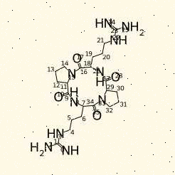 N=C(N)NCCCC1NC(=O)C2CCCN2C(=O)C(CCCNC(=N)N)NC(=O)C2CCCN2C1=O